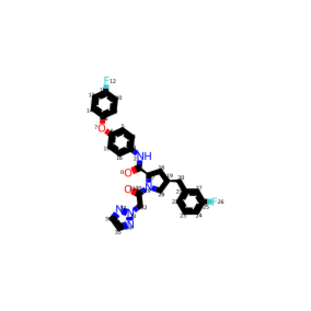 O=C(Nc1ccc(Oc2ccc(F)cc2)cc1)[C@H]1C[C@@H](Cc2cccc(F)c2)CN1C(=O)Cn1nccn1